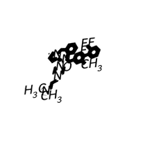 Cc1cc(C(=O)N2c3ccccc3Cn3[c]ccc3C2N2CCN(CCCN(C)C)CC2)ccc1-c1ccccc1C(F)(F)F